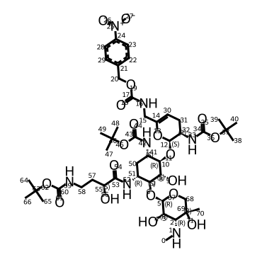 CN[C@@H]1[C@@H](O)[C@@H](O[C@@H]2[C@@H](O)[C@H](O[C@H]3OC(CNC(=O)OCc4ccc([N+](=O)[O-])cc4)=CC[C@H]3NC(=O)OC(C)(C)C)[C@@H](NC(=O)OC(C)(C)C)C[C@H]2NC(=O)[C@@H](O)CCNC(=O)OC(C)(C)C)OC[C@]1(C)O